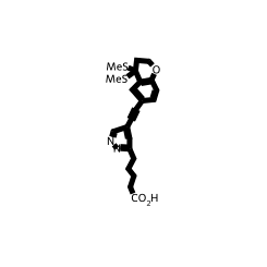 CSC1(SC)CCOc2ccc(C#Cc3cnnc(CCCCC(=O)O)c3)cc21